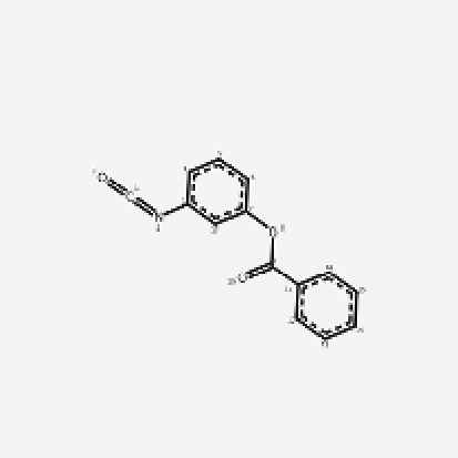 O=C=Nc1cccc(OC(=O)c2ccccc2)c1